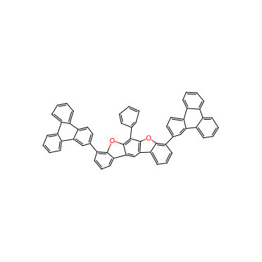 c1ccc(-c2c3oc4c(-c5ccc6c7ccccc7c7ccccc7c6c5)cccc4c3cc3c2oc2c(-c4ccc5c6ccccc6c6ccccc6c5c4)cccc23)cc1